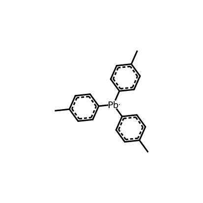 Cc1cc[c]([Pb]([c]2ccc(C)cc2)[c]2ccc(C)cc2)cc1